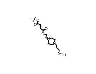 COC(=O)/C=C/C(=O)OCCN1CCN(CCCSO)CC1